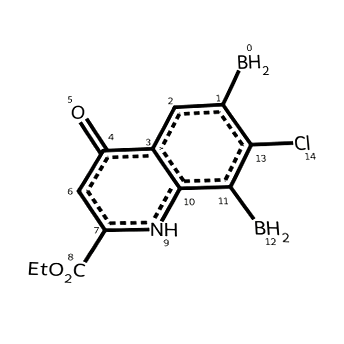 Bc1cc2c(=O)cc(C(=O)OCC)[nH]c2c(B)c1Cl